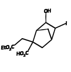 CCOC(=O)CC1(C(=O)O)CC2CC1C(O)C2I